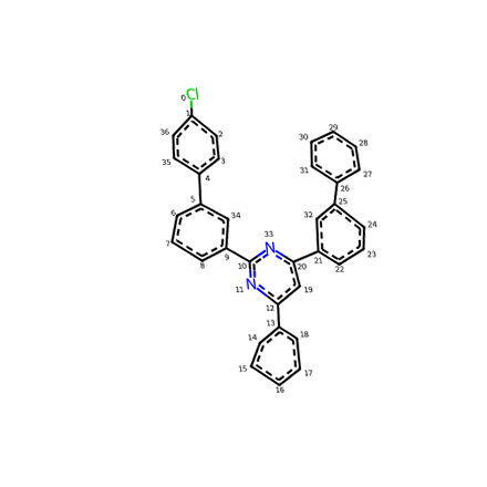 Clc1ccc(-c2cccc(-c3nc(-c4ccccc4)cc(-c4cccc(-c5ccccc5)c4)n3)c2)cc1